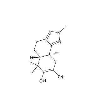 Cn1cc2c(n1)[C@@]1(C)CC(C#N)=C(O)C(C)(C)[C@@H]1CC2